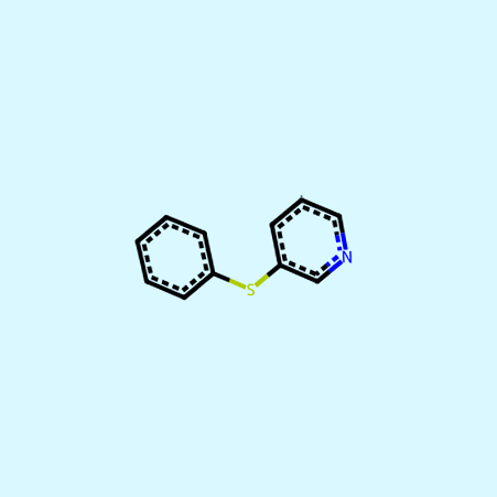 [c]1cncc(Sc2ccccc2)c1